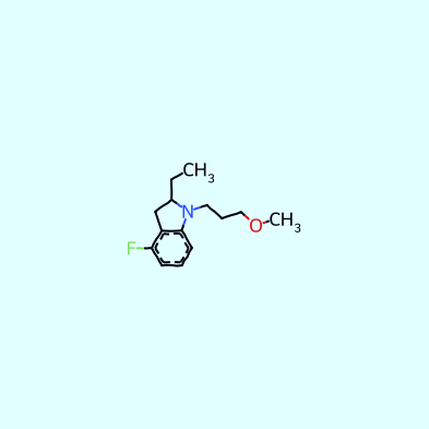 CCC1Cc2c(F)cccc2N1CCCOC